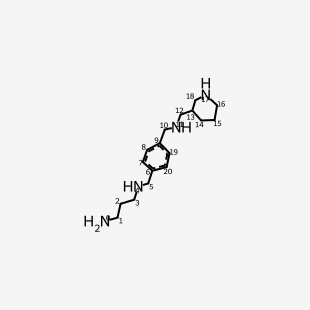 NCCCNCc1ccc(CNCC2CCCNC2)cc1